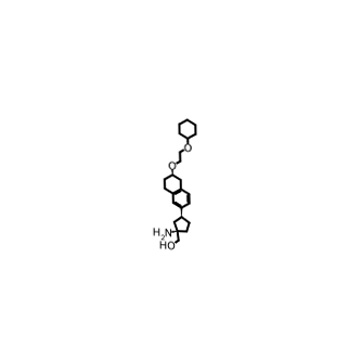 N[C@]1(CO)CC[C@H](c2ccc3c(c2)CC[C@@H](OCCOC2CCCCC2)C3)C1